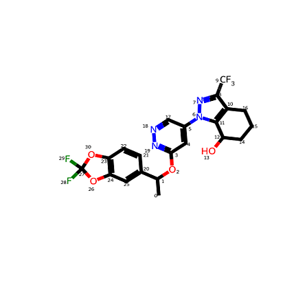 CC(Oc1cc(-n2nc(C(F)(F)F)c3c2C(O)CCC3)cnn1)c1ccc2c(c1)OC(F)(F)O2